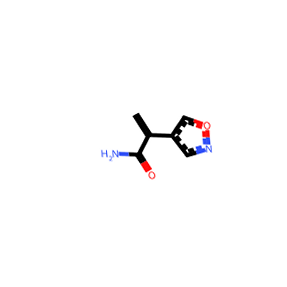 C=C(C(N)=O)c1cnoc1